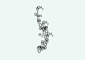 C=C(C(=O)N(C)Cc1cnn(Cc2cc(OC)c3c(NS(=O)(=O)c4ccccc4F)noc3c2)c1)c1cccc(S(=O)(=O)Nc2noc3cc(Cn4cc(CNC(=O)/C=C/COC)cn4)cc(OC)c23)c1F